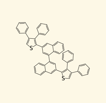 c1ccc(-c2csc(-c3cc(-c4cc(-c5scc(-c6ccccc6)c5-c5ccccc5)cc5ccccc45)c4ccccc4c3)c2-c2ccccc2)cc1